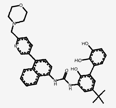 CC(C)(C)c1cc(NC(=O)Nc2ccc(-c3ccc(CN4CCOCC4)nc3)c3ccccc23)c(O)c(-c2cccc(O)c2O)c1